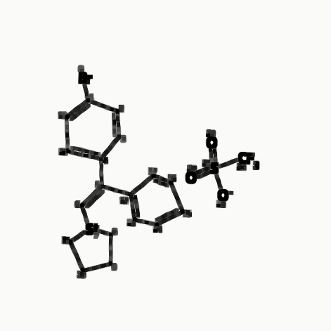 Brc1ccc(C(=C[S+]2CCCC2)c2ccccc2)cc1.O=S(=O)([O-])C(F)(F)F